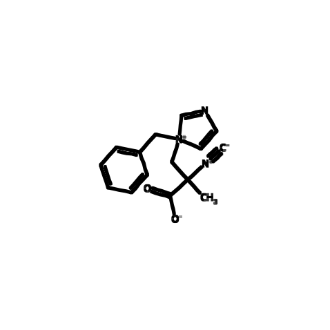 [C-]#[N+]C(C)(C[N+]1(Cc2ccccc2)C=CN=C1)C(=O)[O-]